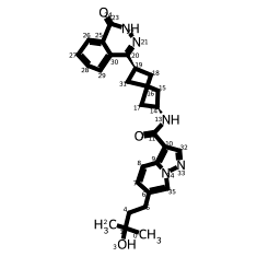 CC(C)(O)CCc1ccc2c(C(=O)N[C@H]3CC4(C3)C[C@H](c3n[nH]c(=O)c5ccccc53)C4)cnn2c1